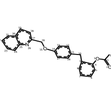 CC(=O)Oc1ccccc1Cc1ccc(OCc2ccc3ccccc3n2)cc1